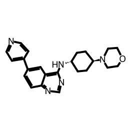 c1cc(-c2ccc3ncnc(N[C@H]4CC[C@H](N5CCOCC5)CC4)c3c2)ccn1